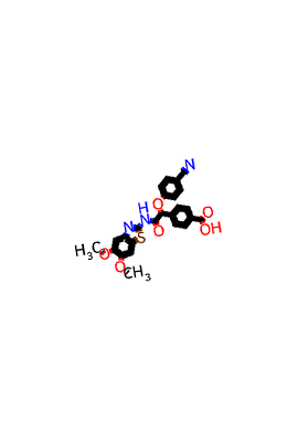 COc1cc2nc(NC(=O)C(Oc3ccc(C#N)cc3)c3ccc(C(=O)O)cc3)sc2cc1OC